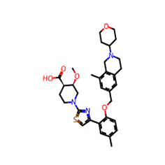 CO[C@H]1CN(c2nc(-c3cc(C)ccc3OCc3cc(C)c4c(c3)CCN(C3CCOCC3)C4)cs2)CC[C@H]1C(=O)O